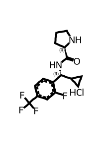 Cl.O=C(N[C@@H](c1ccc(C(F)(F)F)cc1F)C1CC1)[C@H]1CCCN1